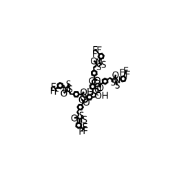 O=C(Oc1cc2c(cc1OC(=O)c1ccc(/C=C3\SC(=S)N(c4cccc(C(F)(F)F)c4)C3=O)cc1)[C@@H]1c3ccc(OC(=O)c4ccc(/C=C5\SC(=S)N(c6cccc(C(F)(F)F)c6)C5=O)cc4)c(OC(=O)c4ccc(/C=C5\SC(=S)N(c6cccc(C(F)(F)F)c6)C5=O)cc4)c3OC[C@]1(O)C2)c1ccc(/C=C2\SC(=S)N(c3cccc(C(F)(F)F)c3)C2=O)cc1